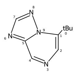 CC(C)(C)c1cncc2ncnn12